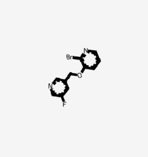 Fc1cncc(COc2cccnc2Br)c1